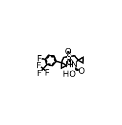 O=C(O)NC1(CS(=O)(=O)CC2(c3ccc(F)c(C(F)(F)F)c3)CC2)CC1